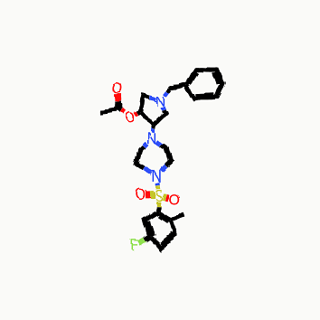 CC(=O)OC1CN(Cc2ccccc2)CC1N1CCN(S(=O)(=O)c2cc(F)ccc2C)CC1